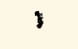 COC1(CCCNc2ncco2)CCN2CC(C)(c3ccccc3)CCC2C1